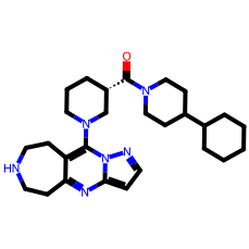 O=C([C@H]1CCCN(c2c3c(nc4ccnn24)CCNCC3)C1)N1CCC(C2CCCCC2)CC1